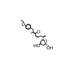 C=C(C/C=C\C(Cl)=C(/C)Cc1ccc(OCC)cc1)[C@H]1C[C@@H](O)C[C@@H](CO)O1